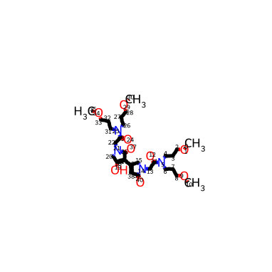 COCCCN(CCCOC)C(=O)CN1CC(C2=C(O)CN(CC(=O)N(CCCOC)CCCOC)C2=O)=CC1=O